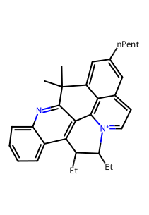 CCCCCc1cc2c3c4[n+](ccc3c1)C(CC)C(CC)c1c-4c(nc3ccccc13)C2(C)C